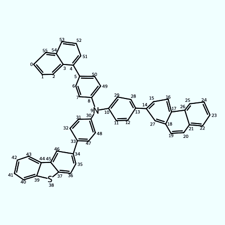 c1ccc2c(-c3ccc(N(c4ccc(-c5ccc6c(ccc7ccccc76)c5)cc4)c4ccc(-c5ccc6sc7ccccc7c6c5)cc4)cc3)cccc2c1